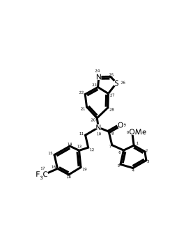 COc1ccccc1CC(=O)N(CCc1ccc(C(F)(F)F)cc1)c1ccc2ncsc2c1